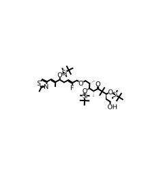 C/C(=C\c1csc(C)n1)C(C/C=C(\F)COC[C@H](C)[C@H](O[Si](C)(C)C(C)(C)C)[C@@H](C)C(=O)C(C)(C)[C@H](CCO)O[Si](C)(C)C(C)(C)C)O[Si](C)(C)C(C)(C)C